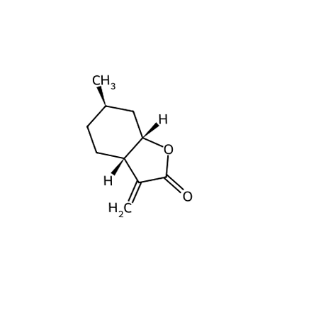 C=C1C(=O)O[C@H]2C[C@H](C)CC[C@@H]12